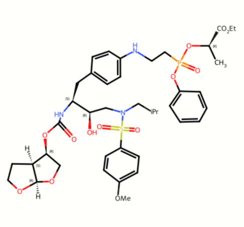 CCOC(=O)[C@@H](C)OP(=O)(CCNc1ccc(C[C@H](NC(=O)O[C@H]2CO[C@H]3OCC[C@H]32)[C@H](O)CN(CC(C)C)S(=O)(=O)c2ccc(OC)cc2)cc1)Oc1ccccc1